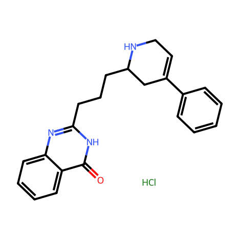 Cl.O=c1[nH]c(CCCC2CC(c3ccccc3)=CCN2)nc2ccccc12